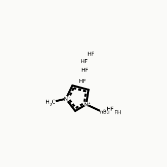 CCCC[n+]1ccn(C)c1.F.F.F.F.F.F